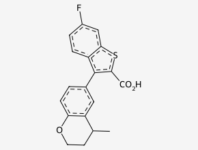 CC1CCOc2ccc(-c3c(C(=O)O)sc4cc(F)ccc34)cc21